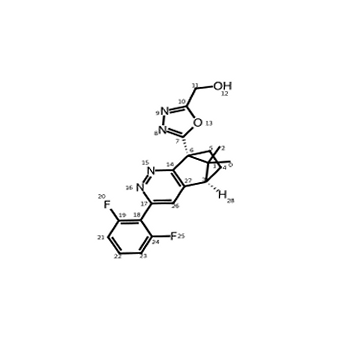 CC1(C)[C@H]2CC[C@]1(c1nnc(CO)o1)c1nnc(-c3c(F)cccc3F)cc12